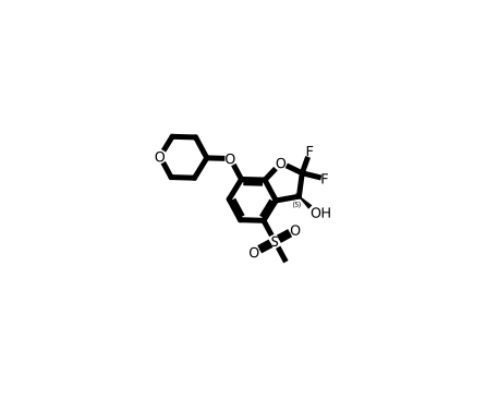 CS(=O)(=O)c1ccc(OC2CCOCC2)c2c1[C@H](O)C(F)(F)O2